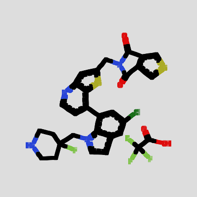 O=C(O)C(F)(F)F.O=C1c2cscc2C(=O)N1Cc1cc2nccc(-c3cc(Cl)cc4ccn(CC5(F)CCNCC5)c34)c2s1